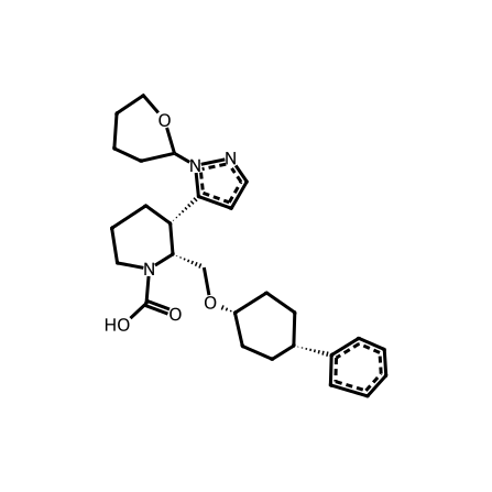 O=C(O)N1CCC[C@H](c2ccnn2C2CCCCO2)[C@@H]1CO[C@H]1CC[C@@H](c2ccccc2)CC1